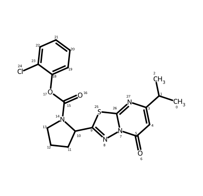 CC(C)c1cc(=O)n2nc(C3CCCN3C(=O)Oc3ccccc3Cl)sc2n1